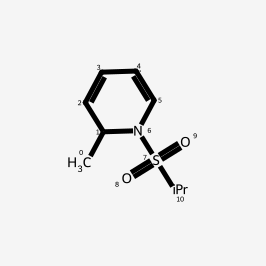 CC1C=C[C]=CN1S(=O)(=O)C(C)C